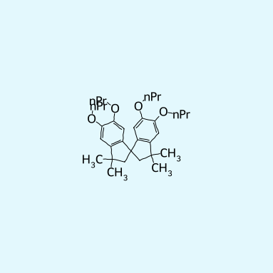 CCCOc1cc2c(cc1OCCC)C1(CC2(C)C)CC(C)(C)c2cc(OCCC)c(OCCC)cc21